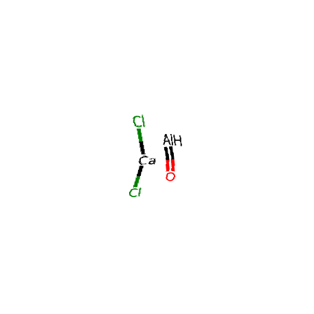 [Cl][Ca][Cl].[O]=[AlH]